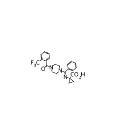 O=C(c1ccccc1C(F)(F)F)N1CCN(/C(=N/C2(C(=O)O)CC2)c2ccccc2)CC1